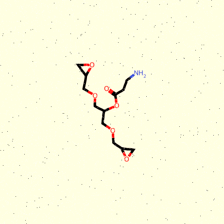 NCCC(=O)OC(COCC1CO1)COCC1CO1